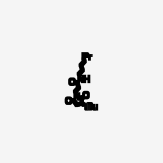 CC(C)CCCCNC(=O)CCN1C(=O)CC(C(C)(C)C)C1=O